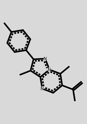 C=C(C)c1cnc2c(C)c(-c3ccc(C)cc3)nn2c1C